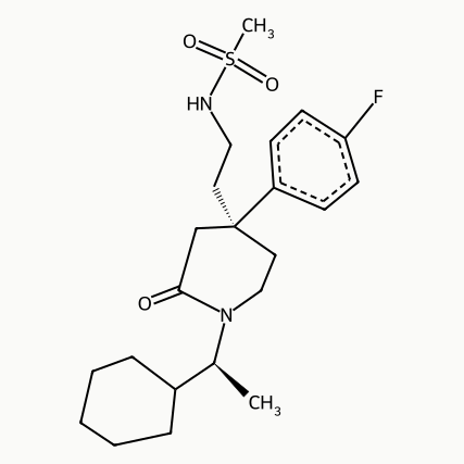 C[C@@H](C1CCCCC1)N1CC[C@](CCNS(C)(=O)=O)(c2ccc(F)cc2)CC1=O